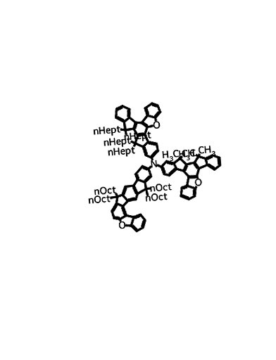 CCCCCCCCC1(CCCCCCCC)c2cc(N(c3ccc4c(c3)C(C)(C)c3c5c(c6oc7ccccc7c6c3-4)-c3ccccc3C5(C)C)c3ccc4c(c3)C(CCCCCCC)(CCCCCCC)c3c5c(c6c(oc7ccccc76)c3-4)-c3ccccc3C5(CCCCCCC)CCCCCCC)ccc2-c2cc3c(cc21)-c1c(ccc2oc4ccccc4c12)C3(CCCCCCCC)CCCCCCCC